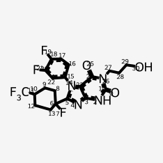 O=c1[nH]c2nc(C3(F)CCC(C(F)(F)F)CC3)n(-c3ccc(F)c(F)c3)c2c(=O)n1CCCO